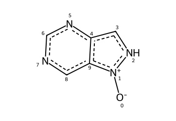 [O-][n+]1[nH]cc2ncncc21